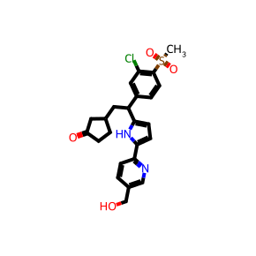 CS(=O)(=O)c1ccc(C(CC2CCC(=O)C2)c2ccc(-c3ccc(CO)cn3)[nH]2)cc1Cl